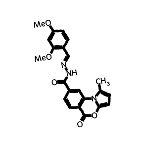 COc1ccc(/C=N/NC(=O)c2ccc3c(=O)oc4ccc(C)n4c3c2)c(OC)c1